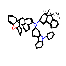 CC1(C)c2ccccc2-c2cc(N(c3ccc4c5ccccc5n(-c5ccccc5)c4c3)c3ccc4c5c(cccc35)C3(c5ccccc5Oc5ccccc53)c3ccccc3-4)ccc21